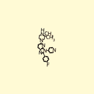 CC1(C)CN(c2ccc3nc(-c4ccc(F)cc4)n(-c4ccncc4)c3n2)CCN1